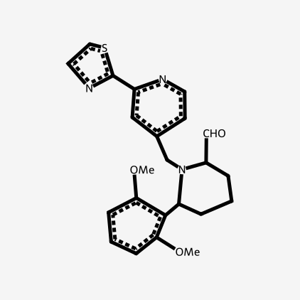 COc1cccc(OC)c1C1CCCC(C=O)N1Cc1ccnc(-c2nccs2)c1